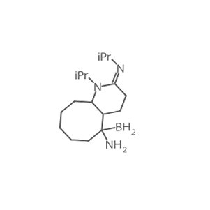 BC1(N)CCCCCC2C1CC/C(=N/C(C)C)N2C(C)C